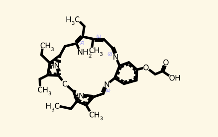 CCC1=C(\N)Cc2[nH]c(c(CC)c2CC)Cc2[nH]c(c(C)c2CC)/C=N/c2ccc(OCC(=O)O)cc2\N=C/C=C/1C